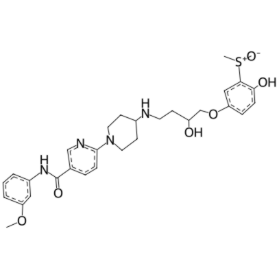 COc1cccc(NC(=O)c2ccc(N3CCC(NCCC(O)COc4ccc(O)c([S+](C)[O-])c4)CC3)nc2)c1